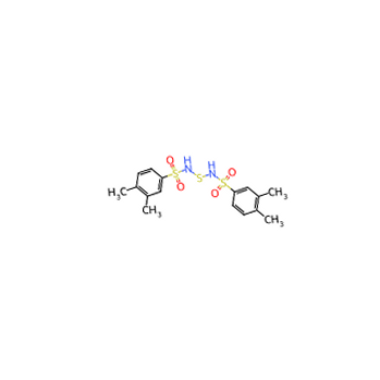 Cc1ccc(S(=O)(=O)NSNS(=O)(=O)c2ccc(C)c(C)c2)cc1C